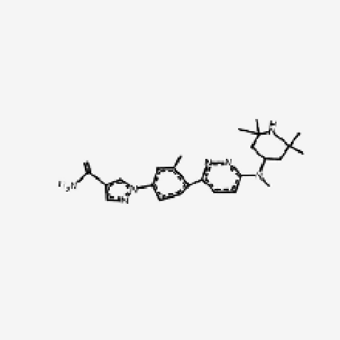 C=C(N)c1cnn(-c2ccc(-c3ccc(N(C)C4CC(C)(C)NC(C)(C)C4)nn3)c(C)c2)c1